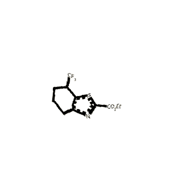 CCOC(=O)c1nc2c(s1)C(C(F)(F)F)CCC2